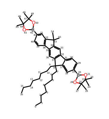 CCCCCCCCC1(CCCCCCCC)c2cc(B3OC(C)(C)C(C)(C)O3)ccc2-c2cc3c(cc21)-c1ccc(B2OC(C)(C)C(C)(C)O2)cc1C3(C)C